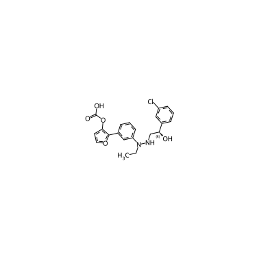 CCN(NC[C@H](O)c1cccc(Cl)c1)c1cccc(-c2occc2OC(=O)O)c1